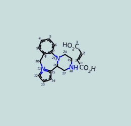 O=C(O)C=CC(=O)O.c1ccc2c(c1)Cn1cccc1C1CNCCN21